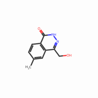 Cc1ccc2c(=O)[nH]nc(CO)c2c1